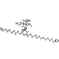 CCCCCCCCCCCCCCC(CCCCCCCCCCCC)CC(=O)OCC(C)(C)CO